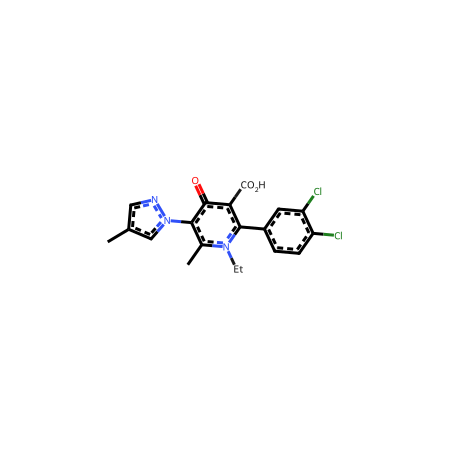 CCn1c(C)c(-n2cc(C)cn2)c(=O)c(C(=O)O)c1-c1ccc(Cl)c(Cl)c1